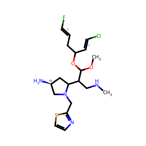 CNCC(C(OC)OC(/C=C/Cl)C/C=C/F)C1C[C@H](N)CN1Cc1nccs1